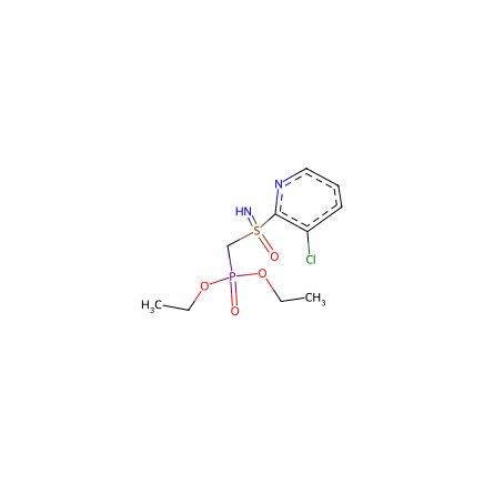 CCOP(=O)(CS(=N)(=O)c1ncccc1Cl)OCC